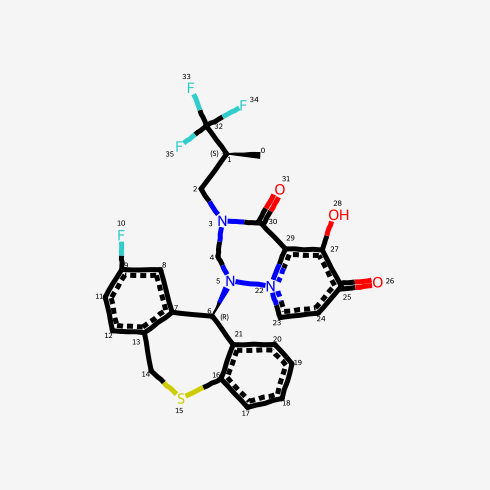 C[C@@H](CN1CN([C@@H]2c3cc(F)ccc3CSc3ccccc32)n2ccc(=O)c(O)c2C1=O)C(F)(F)F